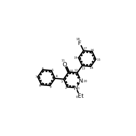 CCn1cc(-c2ccccc2)c(=O)c(-c2cccc(F)c2)n1